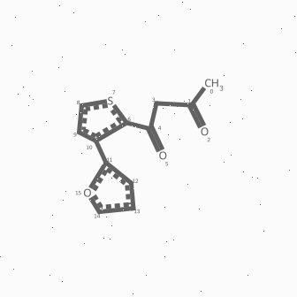 CC(=O)CC(=O)c1sccc1-c1ccco1